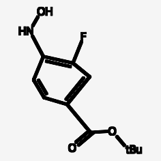 CC(C)(C)OC(=O)c1ccc(NO)c(F)c1